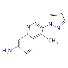 Cc1c(-n2cccn2)cnc2cc(N)ccc12